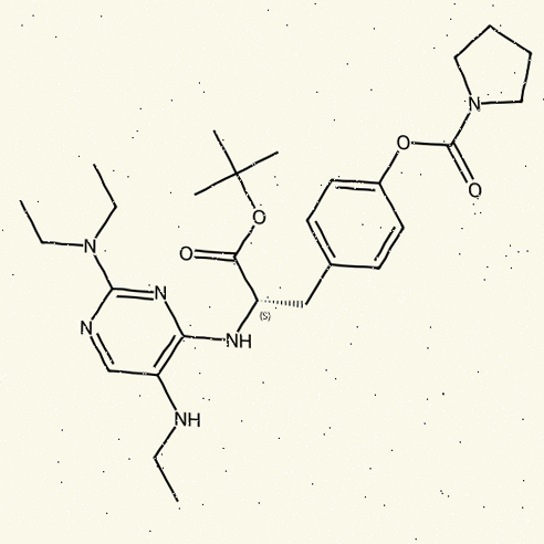 CCNc1cnc(N(CC)CC)nc1N[C@@H](Cc1ccc(OC(=O)N2CCCC2)cc1)C(=O)OC(C)(C)C